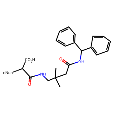 CCCCCCCCCC(C(=O)O)C(=O)NCC(C)(C)CC(=O)NC(c1ccccc1)c1ccccc1